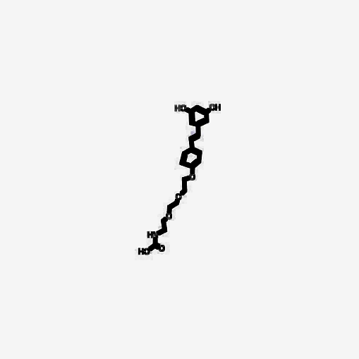 O=C(O)NCCOCCOCCOc1ccc(/C=C/c2cc(O)cc(O)c2)cc1